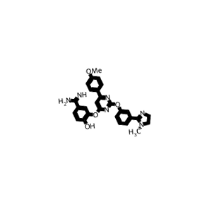 COc1ccc(-c2cc(Oc3cc(C(=N)N)ccc3O)nc(Oc3cccc(C4=NCCN4C)c3)n2)cc1